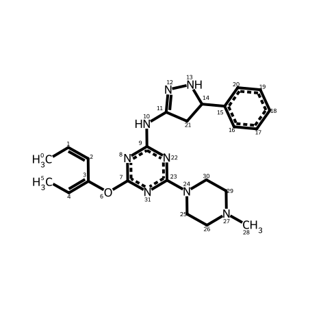 C/C=C\C(=C/C)Oc1nc(NC2=NNC(c3ccccc3)C2)nc(N2CCN(C)CC2)n1